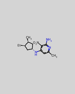 CC[C@@H]1C[C@@H](Nc2cc(C)nc(N)c2[N+](=O)[O-])C[C@@H]1C